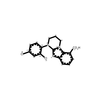 O=C(O)c1cccc2nc3n(c12)CCCN3c1ccc(Cl)cc1Cl